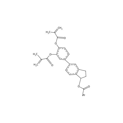 C=C(C)C(=O)Oc1ccc(-c2ccc3c(c2)CCC3OC(=O)C(C)C)cc1OC(=O)C(=C)C